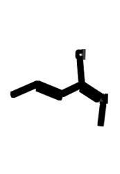 C/C=C/C(Cl)=N\C